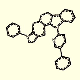 c1ccc(-c2ccc(-n3c4ccccc4c4ccc5cc6c(ccn6-c6ccccc6)cc5c43)nc2)cc1